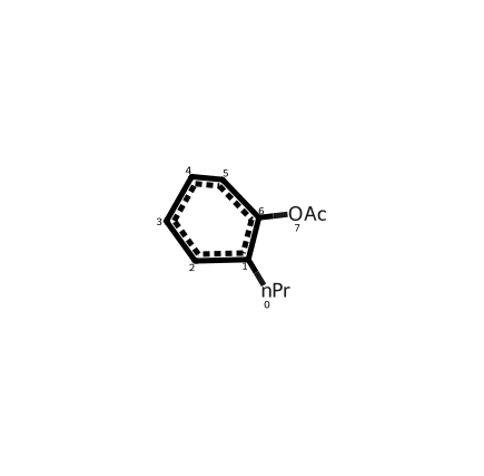 [CH2]CCc1ccccc1OC(C)=O